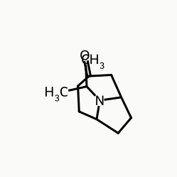 CC(C)N1C2CCC(=O)CC1CC2